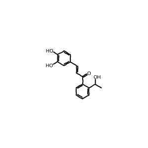 CC(O)c1ccccc1C(=O)C=Cc1ccc(O)c(O)c1